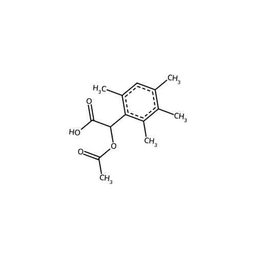 CC(=O)OC(C(=O)O)c1c(C)cc(C)c(C)c1C